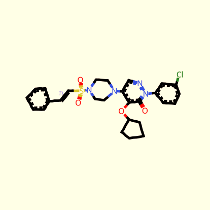 O=c1c(OC2CCCC2)c(N2CCN(S(=O)(=O)/C=C/c3ccccc3)CC2)cnn1-c1cccc(Cl)c1